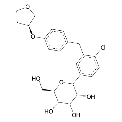 OC[C@H]1OC(c2ccc(Cl)c(Cc3ccc(O[C@H]4CCOC4)cc3)c2)[C@H](O)C(O)[C@@H]1O